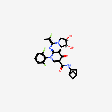 C=C1C(=O)C(C(=O)NC2CC3CC2C3)=CN(c2c(F)cccc2F)/C1=N/C(=C(\C)F)N1C[C@@H](O)[C@H](O)C1